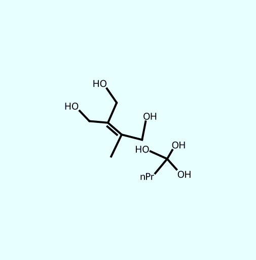 CC(CO)=C(CO)CO.CCCC(O)(O)O